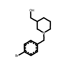 OCC1CCCN(Cc2ccc(Br)cc2)C1